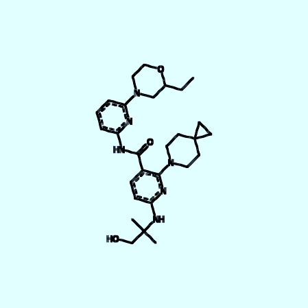 CCC1CN(c2cccc(NC(=O)c3ccc(NC(C)(C)CO)nc3N3CCC4(CC3)CC4)n2)CCO1